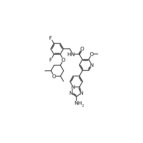 COc1ncc(-c2ccn3nc(N)nc3c2)cc1C(=O)NCc1cc(F)cc(F)c1OC1CC(C)OC(C)C1